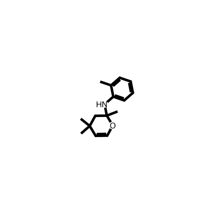 Cc1ccccc1NC1(C)CC(C)(C)C=CO1